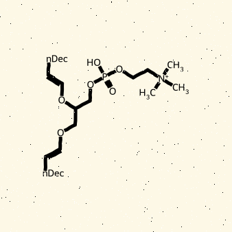 CCCCCCCCCCC=COCC(COP(=O)(O)OCC[N+](C)(C)C)OC=CCCCCCCCCCC